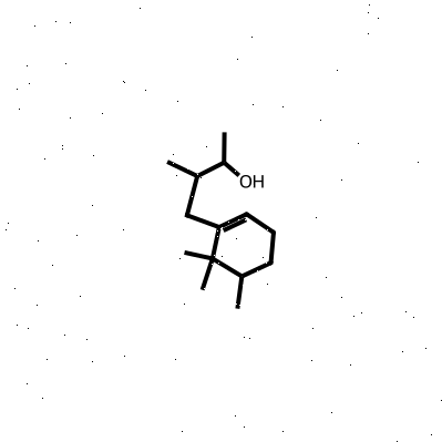 CC(O)C(C)CC1=CCCC(C)C1(C)C